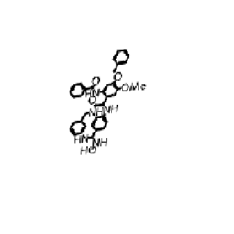 COc1cc(C(Nc2ccc(C(=N)NO)cc2)C(=O)NCc2ccccc2)c(NC(=O)c2ccccc2)cc1OCc1ccccc1